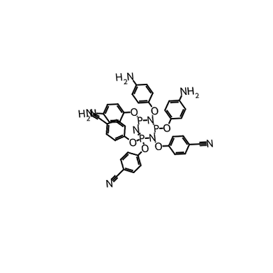 N#Cc1ccc(ON2P(Oc3ccc(N)cc3)N(Oc3ccc(N)cc3)P(Oc3ccc(N)cc3)N=P2(Oc2ccc(C#N)cc2)Oc2ccc(C#N)cc2)cc1